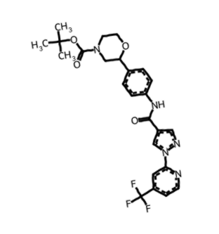 CC(C)(C)OC(=O)N1CCOC(c2ccc(NC(=O)c3cnn(-c4cc(C(F)(F)F)ccn4)c3)cc2)C1